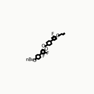 C=CCCOc1ccc(C2CCC(C(=O)Oc3ccc(C4CCC(OCCCC)CC4)c(F)c3F)CC2)cc1F